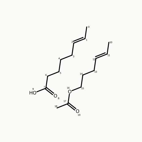 C/C=C/CCCCC(=O)O.C/C=C/CCCOC(C)=O